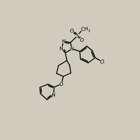 CS(=O)(=O)c1nnc(C2CCC(Oc3ccccn3)CC2)n1-c1ccc(Cl)cc1